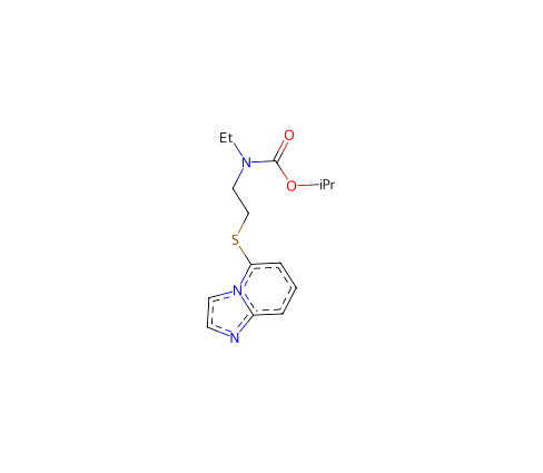 CCN(CCSc1cccc2nccn12)C(=O)OC(C)C